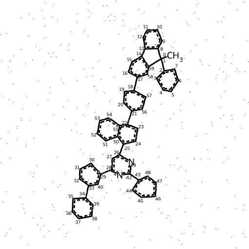 CC1(c2ccccc2)c2ccccc2-c2ccc(-c3ccc(-c4ccc(-c5cc(-c6cccc(-c7ccccc7)c6)nc(-c6ccccc6)n5)c5ccccc45)cc3)cc21